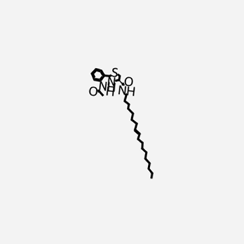 CCCCCCCCC/C=C/CCCCCCCNC(=O)[C@@H]1CSC(c2ccccc2NC(C)=O)N1